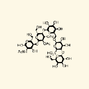 CC(=O)N[C@@H]1[C@@H](O)[C@H](O[C@@H]2O[C@H](CO)[C@H](O[C@@H]3O[C@H](CO[C@@H]4O[C@H](C(=O)O)[C@@H](O[C@H]5O[C@H](CO)[C@H](O)[C@H](O)[C@H]5O)[C@H](O)[C@H]4O)[C@H](O)[C@H](O)[C@H]3O)[C@H](OC(C)=O)[C@H]2OC(C)=O)[C@@H](CO)O[C@H]1O